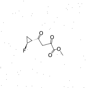 COC(=O)C(=O)CC(=O)[C@H]1C[C@@H]1F